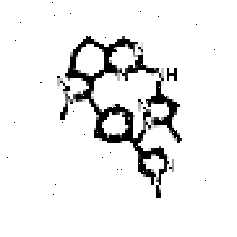 Cc1cc(Nc2ncc3c(n2)-c2c(nn(C)c2-c2ccc(-c4cnn(C)c4)cc2)CC3)nn1C